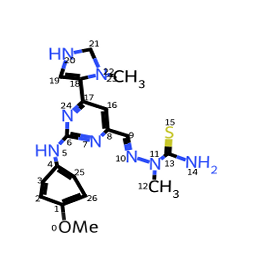 COc1ccc(Nc2nc(C=NN(C)C(N)=S)cc(C3=CNCN3C)n2)cc1